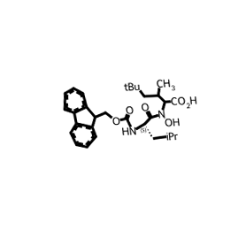 CC(C)C[C@H](NC(=O)OCC1c2ccccc2-c2ccccc21)C(=O)N(O)C(C(=O)O)C(C)CC(C)(C)C